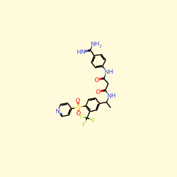 CC(NC(=O)CC(=O)Nc1ccc(C(=N)N)cc1)c1ccc(S(=O)(=O)c2ccncc2)c(C(F)(F)F)c1